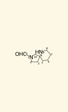 O=CN1CCC2(CCCCN2)C1